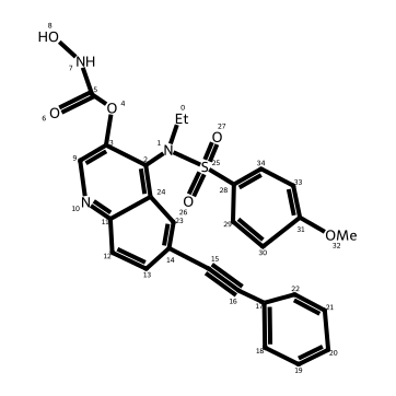 CCN(c1c(OC(=O)NO)cnc2ccc(C#Cc3ccccc3)cc12)S(=O)(=O)c1ccc(OC)cc1